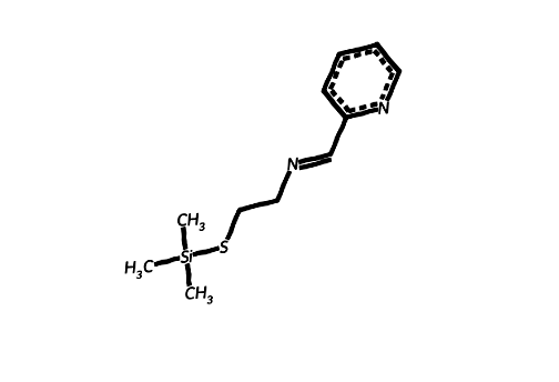 C[Si](C)(C)SCCN=Cc1ccccn1